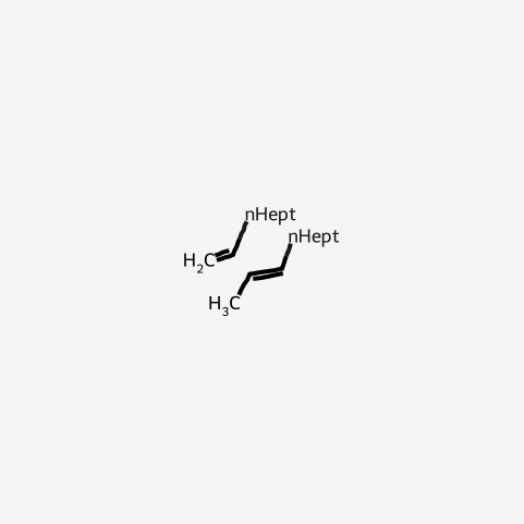 CC=CCCCCCCC.[CH2]CCCCCCC=C